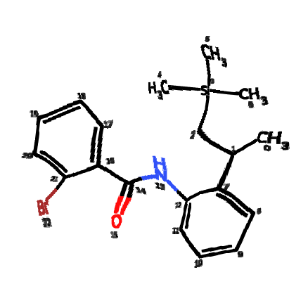 CC(C[Si](C)(C)C)c1ccccc1NC(=O)c1ccccc1Br